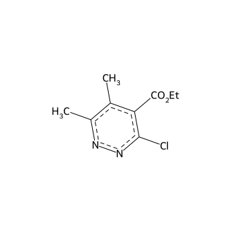 CCOC(=O)c1c(Cl)nnc(C)c1C